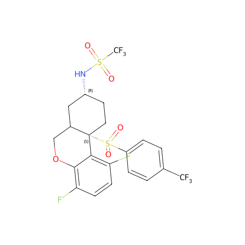 O=S(=O)(N[C@@H]1CC[C@@]2(S(=O)(=O)c3ccc(C(F)(F)F)cc3)c3c(F)ccc(F)c3OCC2C1)C(F)(F)F